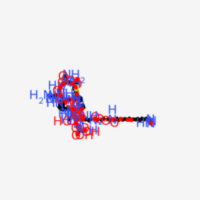 CC(=O)N[C@H]1CCSSCC[C@@H](C(=O)N2CCC[C@H]2C(=O)N2CCC[C@H]2C(=O)N[C@@H](CCCCN)C(=O)N[C@@H](CC(=O)O)C(=O)N[C@@H](CNC(=O)CN(CC(=O)O)CC(=O)O)C(=O)N[C@@H](CCCCNC(=O)COCCOCCNC(=O)CCCCCCCCCCCCCCCc2nnn[nH]2)C(N)=O)NC(=O)[C@H](Cc2c[nH]c3ccccc23)NC(=O)[C@H](CCCNC(=N)N)NC(=O)CNC(=O)[C@H](CCC(N)=O)NC1=O